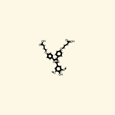 COc1cc(-c2nc(-c3ccc(OCCCC(=O)O)cc3)c(-c3ccc(OCCCC(=O)O)cc3)s2)cc(OC)c1O